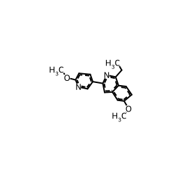 CCc1nc(-c2ccc(OC)nc2)cc2cc(OC)ccc12